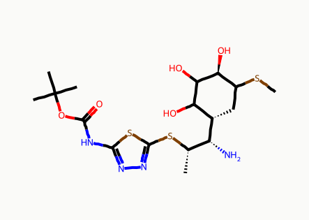 CSC1C[C@H]([C@H](N)[C@H](C)Sc2nnc(NC(=O)OC(C)(C)C)s2)C(O)C(O)[C@H]1O